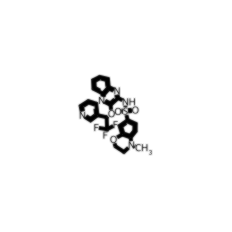 CN1CCOc2cc(S(=O)(=O)Nc3nc4ccccc4nc3OC(c3cccnc3)C(F)(F)F)ccc21